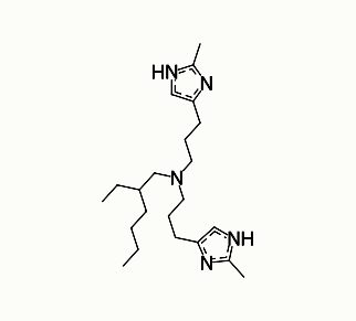 CCCCC(CC)CN(CCCc1c[nH]c(C)n1)CCCc1c[nH]c(C)n1